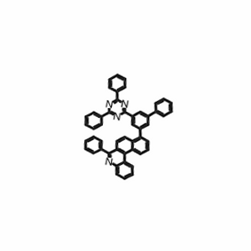 c1ccc(-c2cc(-c3nc(-c4ccccc4)nc(-c4ccccc4)n3)cc(-c3cccc4c3ccc3c(-c5ccccc5)nc5ccccc5c34)c2)cc1